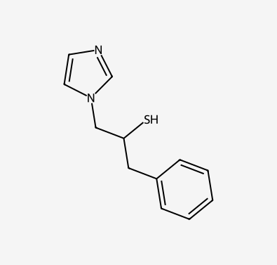 SC(Cc1ccccc1)Cn1ccnc1